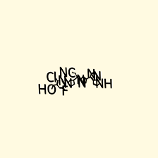 N#CCC(C1CCN(c2nc(Cl)c(CO)cc2F)C1)n1cc(-c2ncnc3[nH]ccc23)cn1